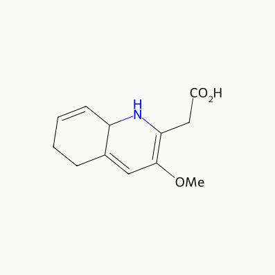 COC1=C(CC(=O)O)NC2C=CCCC2=C1